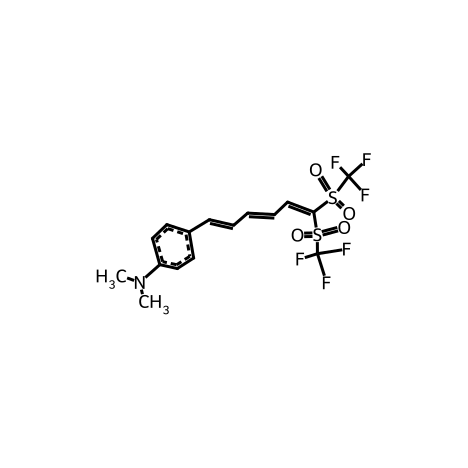 CN(C)c1ccc(C=CC=CC=C(S(=O)(=O)C(F)(F)F)S(=O)(=O)C(F)(F)F)cc1